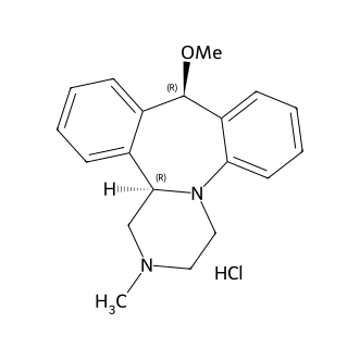 CO[C@@H]1c2ccccc2[C@@H]2CN(C)CCN2c2ccccc21.Cl